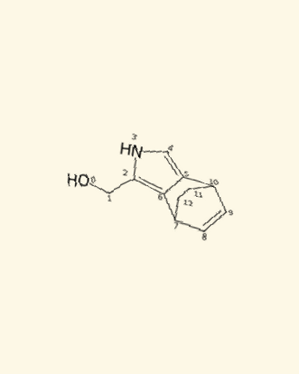 OCc1[nH]cc2c1C1C=CC2CC1